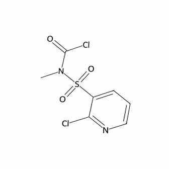 CN(C(=O)Cl)S(=O)(=O)c1cccnc1Cl